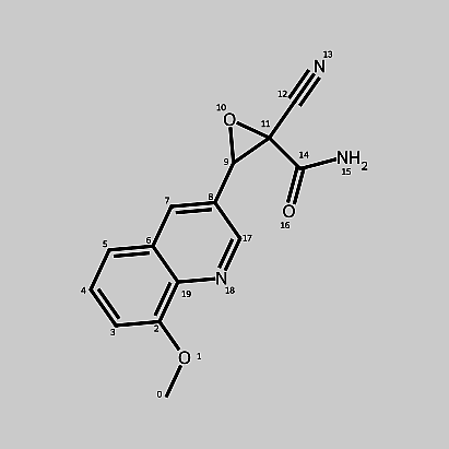 COc1cccc2cc(C3OC3(C#N)C(N)=O)cnc12